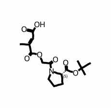 CC(=CC(=O)O)C(=O)OCC(=O)N1CCC[C@H]1C(=O)OC(C)(C)C